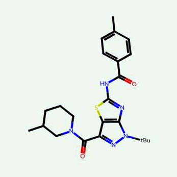 Cc1ccc(C(=O)Nc2nc3c(s2)c(C(=O)N2CCCC(C)C2)nn3C(C)(C)C)cc1